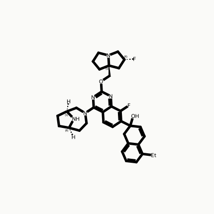 CCc1cccc2c1C=CC(O)(c1ccc3c(N4CC[C@H]5CC[C@@H](C4)N5)nc(OC[C@@]45CCCN4C[C@H](F)C5)nc3c1F)C2